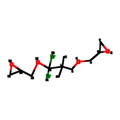 CC(C)(COCC1CO1)C(Br)(Br)OCC1CO1